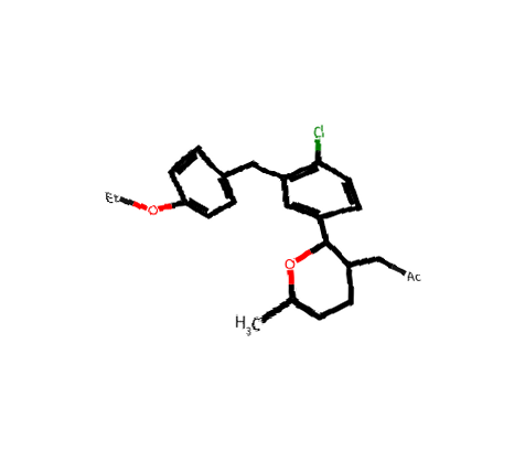 CCOc1ccc(Cc2cc(C3OC(C)CCC3CC(C)=O)ccc2Cl)cc1